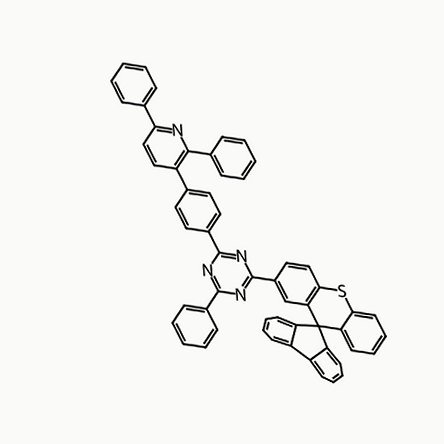 c1ccc(-c2ccc(-c3ccc(-c4nc(-c5ccccc5)nc(-c5ccc6c(c5)C5(c7ccccc7S6)c6ccccc6-c6ccccc65)n4)cc3)c(-c3ccccc3)n2)cc1